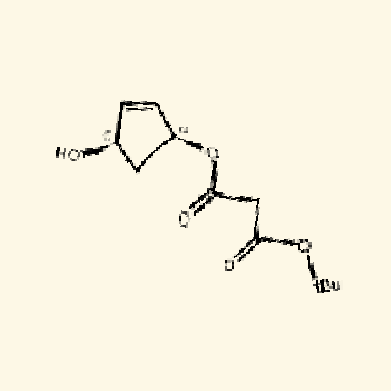 CC(C)(C)OC(=O)CC(=O)O[C@@H]1C=C[C@H](O)C1